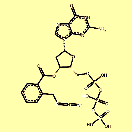 [N-]=[N+]=NCc1ccccc1C(=O)O[C@@H]1C[C@H](n2cnc3c(=O)[nH]c(N)nc32)O[C@@H]1COP(=O)(O)OP(=O)(O)OP(=O)(O)O